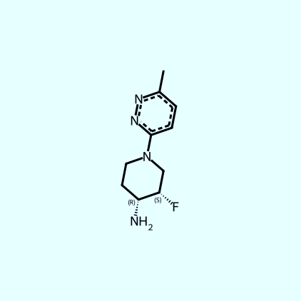 Cc1ccc(N2CC[C@@H](N)[C@@H](F)C2)nn1